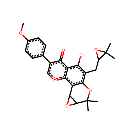 COc1ccc(-c2coc3c4c(c(CC5OC5(C)C)c(O)c3c2=O)OC(C)(C)C2OC42)cc1